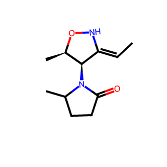 CC=C1NO[C@H](C)[C@@H]1N1C(=O)CCC1C